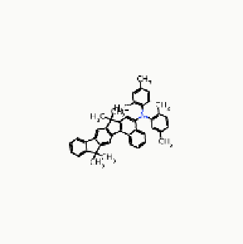 Cc1ccc(N(c2cc(C)ccc2C)c2cc3c(c4ccccc24)-c2cc4c(cc2C3(C)C)-c2ccccc2C4(C)C)c(C)c1